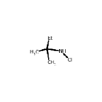 CCC(C)(C)NCl